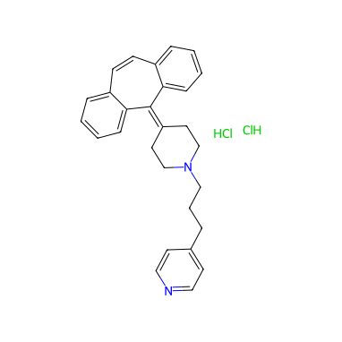 C1=Cc2ccccc2C(=C2CCN(CCCc3ccncc3)CC2)c2ccccc21.Cl.Cl